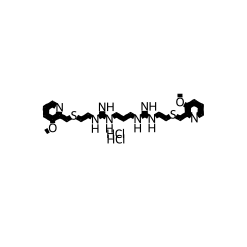 COc1cccnc1CSCCNC(=N)NCCCNC(=N)NCCSCc1ncccc1OC.Cl.Cl